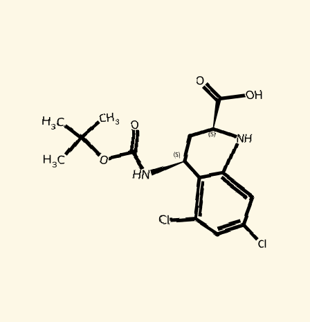 CC(C)(C)OC(=O)N[C@H]1C[C@@H](C(=O)O)Nc2cc(Cl)cc(Cl)c21